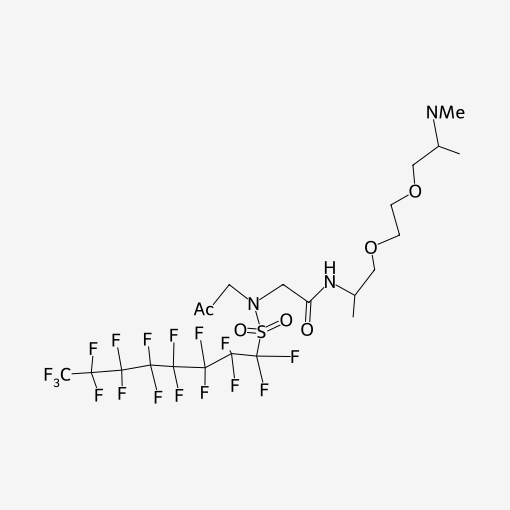 CNC(C)COCCOCC(C)NC(=O)CN(CC(C)=O)S(=O)(=O)C(F)(F)C(F)(F)C(F)(F)C(F)(F)C(F)(F)C(F)(F)C(F)(F)C(F)(F)F